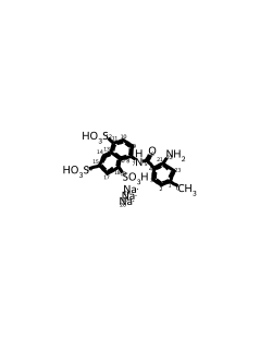 Cc1ccc(C(=O)Nc2ccc(S(=O)(=O)O)c3cc(S(=O)(=O)O)cc(S(=O)(=O)O)c23)c(N)c1.[Na].[Na].[Na]